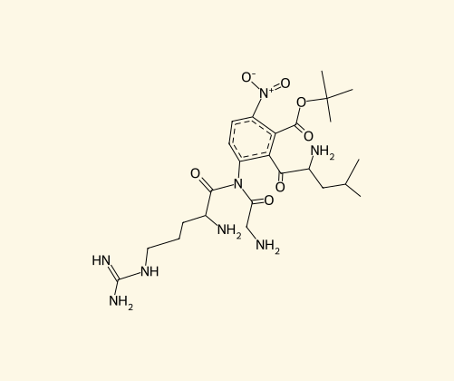 CC(C)CC(N)C(=O)c1c(N(C(=O)CN)C(=O)C(N)CCCNC(=N)N)ccc([N+](=O)[O-])c1C(=O)OC(C)(C)C